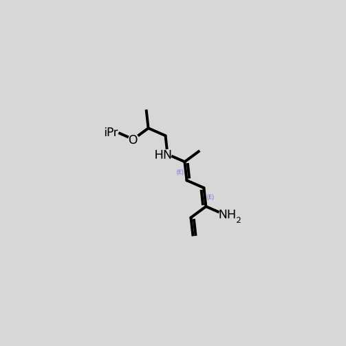 C=C/C(N)=C\C=C(/C)NCC(C)OC(C)C